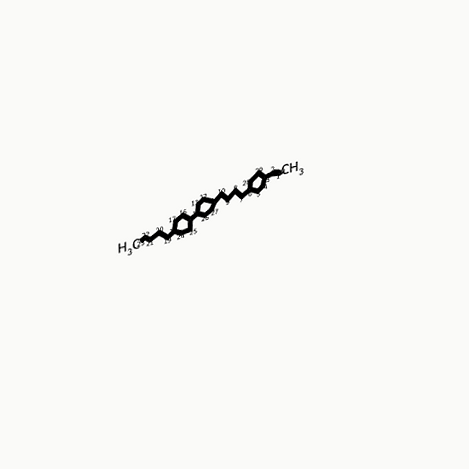 CC=CC1CCC(CCCCC2CCC(C3CCC(CCCCC)CC3)CC2)CC1